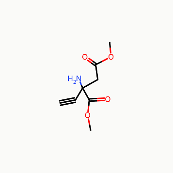 C#CC(N)(CC(=O)OC)C(=O)OC